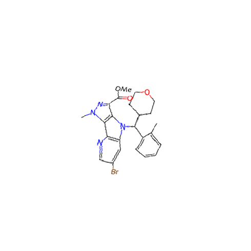 COC(=O)c1nn(C)c2c3ncc(Br)cc3n(C(c3ccccc3C)C3CCOCC3)c12